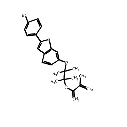 C=C(C)C(=C)OC(C)(C)C(C)(C)Oc1ccc2cc(-c3ccc(CC)cc3)sc2c1